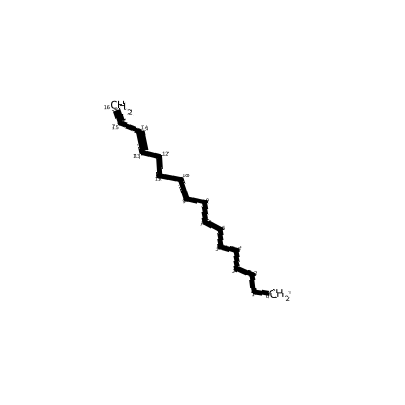 [CH2]CCCCCCCCCCCCC=CC=C